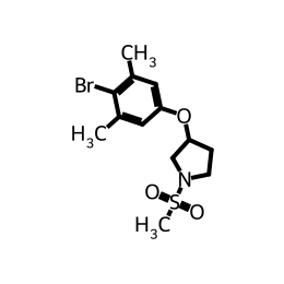 Cc1cc(OC2CCN(S(C)(=O)=O)C2)cc(C)c1Br